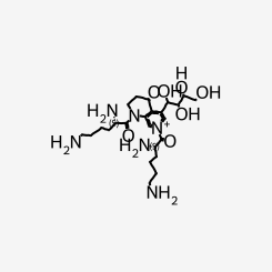 NCCCC[C@H](N)C(=O)N1CCC(=O)c2c(C(O)C(O)C(O)CO)c[n+](C(=O)[C@@H](N)CCCCN)cc21